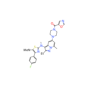 CCc1nn2c(C)cc(N3CCN(C(=O)c4cnco4)CC3)cc2c1N(C)c1nc(-c2ccc(F)cc2)c(NC)s1